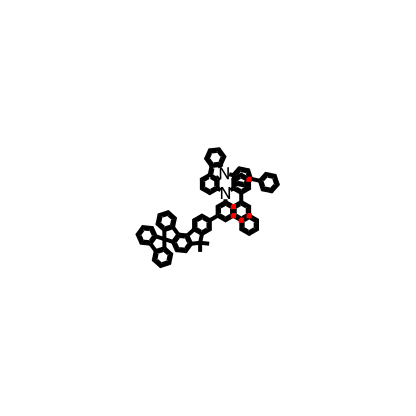 CC1(C)c2cc(-c3cc(-c4ccccc4)cc(N(c4ccccc4-c4ccccc4)c4cccc5c6ccccc6n(-c6ccc(-c7ccccc7)cc6)c45)c3)ccc2-c2c1ccc1c2-c2ccccc2C12c1ccccc1-c1ccccc12